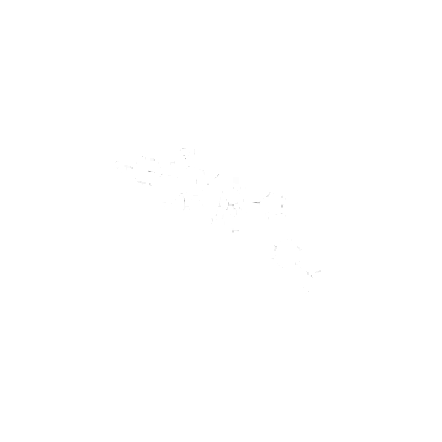 C[C@]12C=CC(=O)C=C1CC[C@@H]1[C@@H]2[C@@H](O)C[C@@]2(C)[C@H]1C[C@H]1O[C@H](c3cnc(Cc4cccc([N+](=O)[O-])c4)s3)O[C@]12C(=O)CO